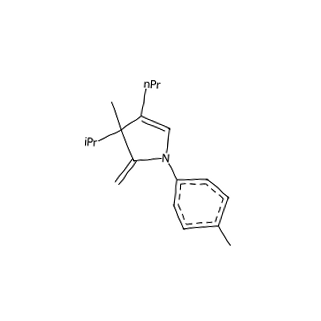 C=C1N(c2ccc(C)cc2)C=C(CCC)C1(C)C(C)C